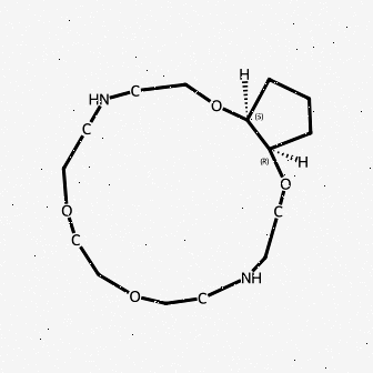 C1C[C@@H]2OCCNCCOCCOCCNCCO[C@@H]2C1